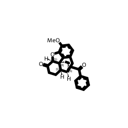 COc1ccc2c3c1O[C@@H]1C(=O)CC[C@@H]4[C@H](C2)N(C(=O)c2ccccc2)CC[C@@]314